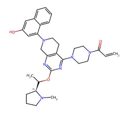 C=CC(=O)N1CCN(c2nc(OC(C)[C@@H]3CCCN3C)nc3c2CCN(c2cc(O)cc4ccccc24)C3)CC1